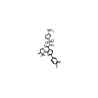 CC1CCN(c2nc(-c3ccc(F)c(F)c3)ccc2C(=O)NS(=O)(=O)N2CC[C@H](N)C2)C1(C)C